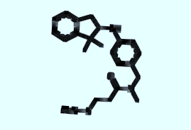 CNSCCC(=O)N(C)Cc1ccc(NC2Cc3ccccc3C2(C)C)cc1